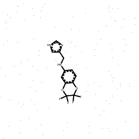 FC1(F)Oc2ccc(NCc3c[nH]cn3)cc2OC1(F)F